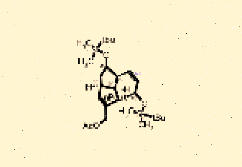 CCCCC[C@@H](/C=C\[C@H]1[C@H]2CC(COC(C)=O)=C[C@H]2C[C@H]1O[Si](C)(C)C(C)(C)C)O[Si](C)(C)C(C)(C)C